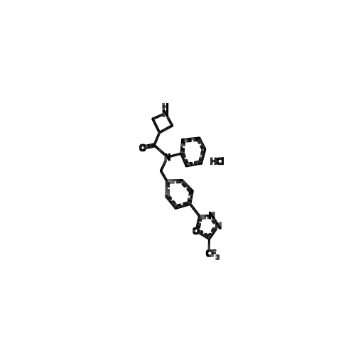 Cl.O=C(C1CNC1)N(Cc1ccc(-c2nnc(C(F)(F)F)o2)cc1)c1ccccc1